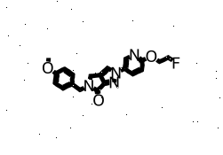 COc1ccc(CN2Cc3cn(-c4ccc(OCCF)nc4)nc3C2=O)cc1